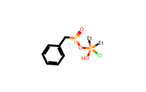 CCP(O)(Cl)(CC)O[PH](=O)Cc1ccccc1